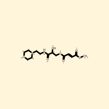 COC(=O)/C=C/C(=O)OCC(O)C(=O)NCCN1CCOCC1